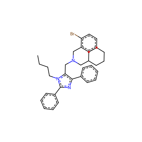 CCCCn1c(-c2ccccc2)nc(-c2ccccc2)c1CN(Cc1ccccc1Br)CC1CCCCC1